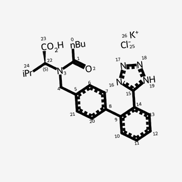 CCCCC(=O)N(Cc1ccc(-c2ccccc2-c2nnn[nH]2)cc1)[C@H](C(=O)O)C(C)C.[Cl-].[K+]